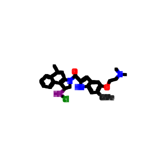 COc1cc2[nH]c(C(=O)N3C[C@@H](PCl)c4c3cc(C)c3ccccc43)cc2cc1OCCN(C)C